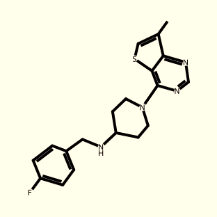 Cc1csc2c(N3CCC(NCc4ccc(F)cc4)CC3)ncnc12